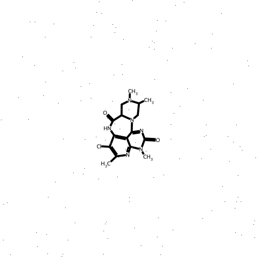 Cc1nc2c3c(nc(=O)n2C)N2CC(C)N(C)CC2C(=O)Nc3c1Cl